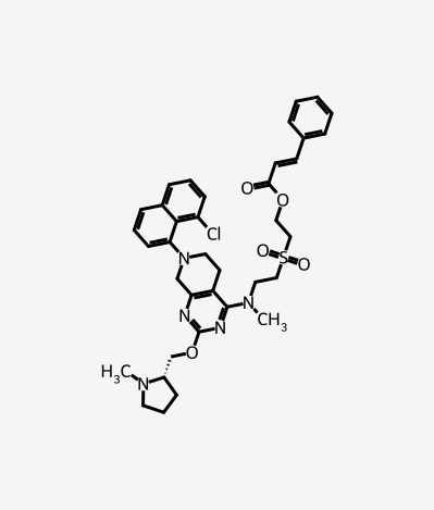 CN(CCS(=O)(=O)CCOC(=O)/C=C/c1ccccc1)c1nc(OC[C@@H]2CCCN2C)nc2c1CCN(c1cccc3cccc(Cl)c13)C2